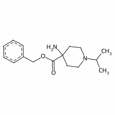 CC(C)N1CCC(N)(C(=O)OCc2ccccc2)CC1